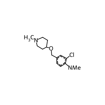 CNc1ccc(COC2CCN(C)CC2)cc1Cl